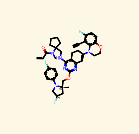 C#Cc1c(F)ccc2c1N(C1=Cc3nc(OC[C@]4(C)C[C@@H](F)CN4c4ccc(F)cc4)nc(NCC4(N(C)C(=O)C=C)CCCC4)c3CC1)CCO2